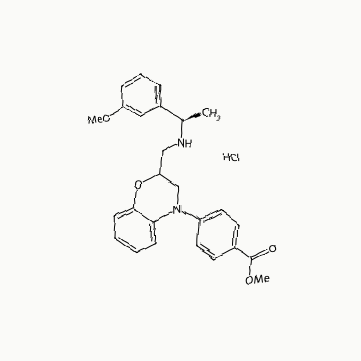 COC(=O)c1ccc(N2CC(CN[C@H](C)c3cccc(OC)c3)Oc3ccccc32)cc1.Cl